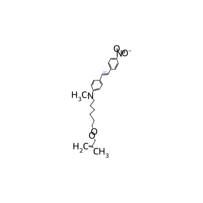 C=C(C)COOCCCCCCN(C)c1ccc(/C=C/c2ccc([N+](=O)[O-])cc2)cc1